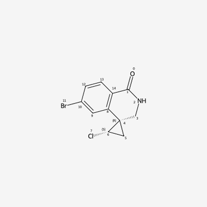 O=C1NC[C@@]2(C[C@@H]2Cl)c2cc(Br)ccc21